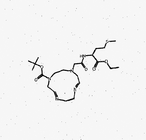 CCOC(=O)C(CCSC)NC(=O)CN1C/C=N/CC/N=C/CN(C(=O)OC(C)(C)C)CC1